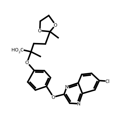 CC1(CCC(C)(Oc2ccc(Oc3cnc4cc(Cl)ccc4n3)cc2)C(=O)O)OCCO1